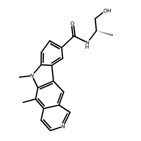 Cc1c2ccncc2cc2c3cc(C(=O)N[C@@H](C)CO)ccc3n(C)c12